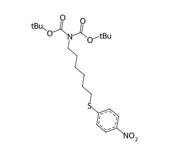 CC(C)(C)OC(=O)N(CCCCCCSc1ccc([N+](=O)[O-])cc1)C(=O)OC(C)(C)C